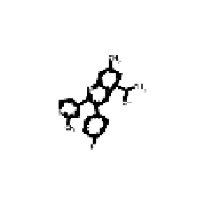 Cc1cc(C(C)O)c2cc(-c3ccc(F)cc3)c(-c3ccnc(C(F)(F)F)c3)nc2c1